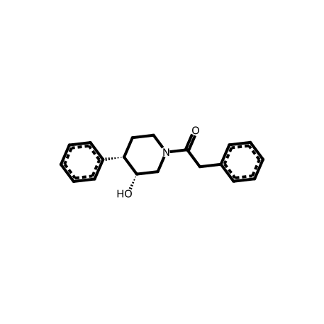 O=C(Cc1ccccc1)N1CC[C@@H](c2ccccc2)[C@@H](O)C1